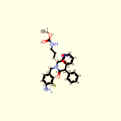 CC(C)(C)OC(=O)NCCC[C@H](C(N)=O)N(Cc1ccc(N)c(F)c1)C(=O)C(c1ccccc1)c1ccccc1